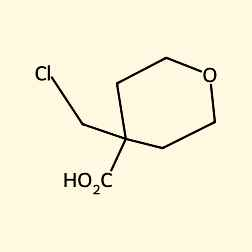 O=C(O)C1(CCl)CCOCC1